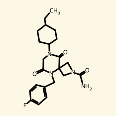 CCC1CCC(N2CC(=O)N(Cc3ccc(F)cc3)C3(CN(C(N)=O)C3)C2=O)CC1